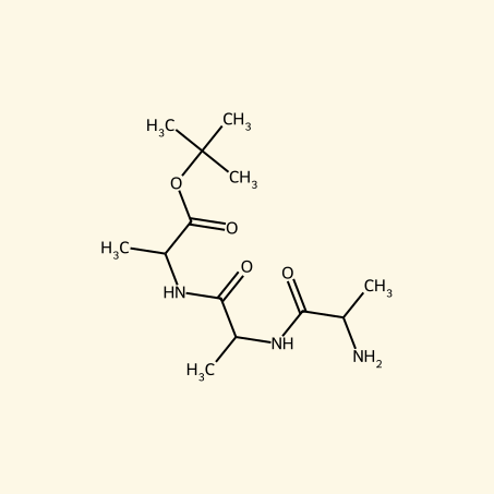 CC(N)C(=O)NC(C)C(=O)NC(C)C(=O)OC(C)(C)C